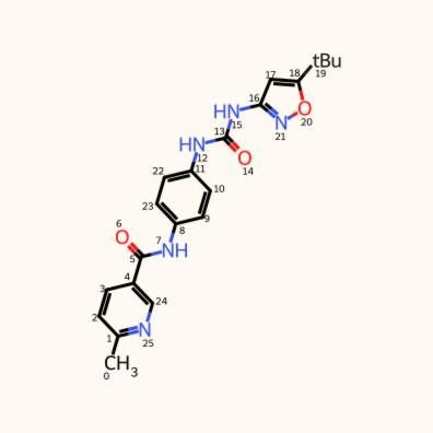 Cc1ccc(C(=O)Nc2ccc(NC(=O)Nc3cc(C(C)(C)C)on3)cc2)cn1